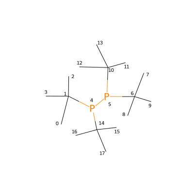 CC(C)(C)P(P(C(C)(C)C)C(C)(C)C)C(C)(C)C